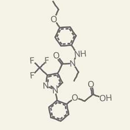 CCOc1ccc(NN(CC)C(=O)c2cn(-c3ccccc3OCC(=O)O)nc2C(F)(F)F)cc1